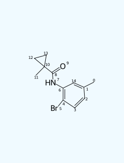 Cc1ccc(Br)c(NC(=O)C2(C)CC2)c1